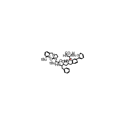 CC(C)(C)c1cccc(CN2CCN(C(C(=O)NC(Cc3ccccc3)C(O)CC(Cc3ccc(-c4ccccn4)cc3)NC(=O)C(NC(=O)O)C(C)(C)C)C(C)(C)C)C2=O)n1